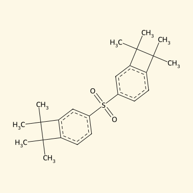 CC1(C)c2ccc(S(=O)(=O)c3ccc4c(c3)C(C)(C)C4(C)C)cc2C1(C)C